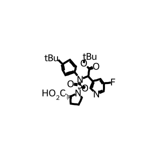 CC(C)(C)OC(=O)C(c1cncc(F)c1)N(c1ccc(C(C)(C)C)cc1)S(=O)(=O)N1CCC[C@@H]1C(=O)O